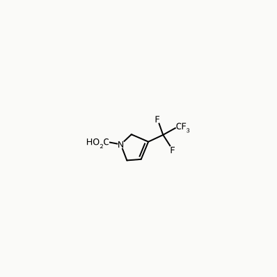 O=C(O)N1CC=C(C(F)(F)C(F)(F)F)C1